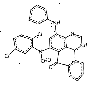 O=CN(c1cc(Cl)ccc1Cl)c1cc(Nc2ccccc2)c2c3c1C(=O)c1ccccc1C3NC=N2